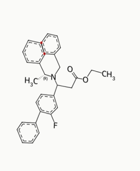 CCOC(=O)CC(c1ccc(-c2ccccc2)c(F)c1)N(Cc1ccccc1)[C@H](C)c1ccccc1